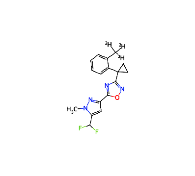 [2H]C([2H])([2H])c1ccccc1C1(c2noc(-c3cc(C(F)F)n(C)n3)n2)CC1